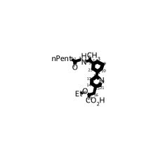 CCCCCC(=O)CNC(C)c1cccc(-c2ccc(CC(OCC)C(=O)O)cn2)c1